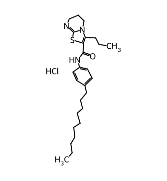 CCCCCCCCCCc1ccc(NC(=O)C2=C(CCC)N3CCCN=C3S2)cc1.Cl